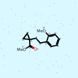 COC(=O)C1(CCc2ccccc2OC)CC1